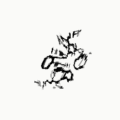 CC(C)c1cnn2c(NCc3ccccc3NC(=O)c3ccccc3C(/C=C/CN)N(C)C)nc(OC3CCCCN3C)nc12